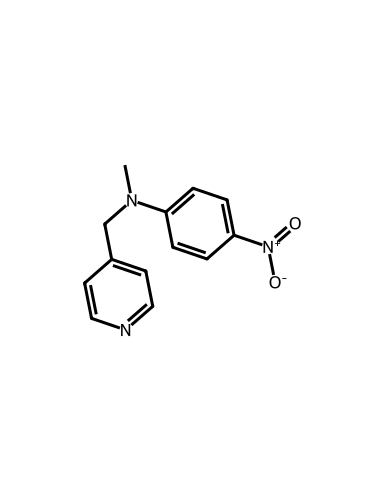 CN(Cc1ccncc1)c1ccc([N+](=O)[O-])cc1